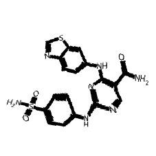 NC(=O)c1cnc(Nc2ccc(S(N)(=O)=O)cc2)nc1Nc1ccc2ncsc2c1